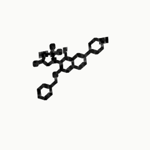 O=C1CN(c2c(OCc3ccccc3)cc3ccc(C4=CCNCC4)cc3c2F)S(=O)(=O)N1